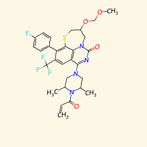 C=CC(=O)N1C(C)CN(c2nc(=O)n3c4c(c(-c5ccc(F)cc5)c(C(F)(F)F)cc24)SCC(OCOC)C3)CC1C